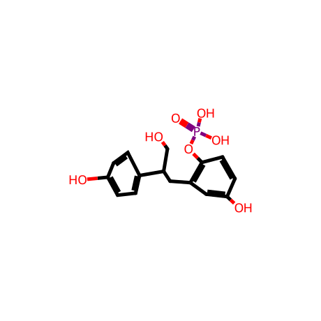 O=P(O)(O)Oc1ccc(O)cc1CC(CO)c1ccc(O)cc1